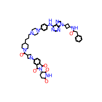 O=C1CC[C@H](N2C(=O)c3ccc(N4CC(C(=O)N5CCC(CCCN6CCN(c7ccc(Nc8ncnc9c8ncn9C8CC(NC(=O)Cc9ccccc9)C8)cc7)CC6)CC5)C4)cc3C2=O)C(=O)N1